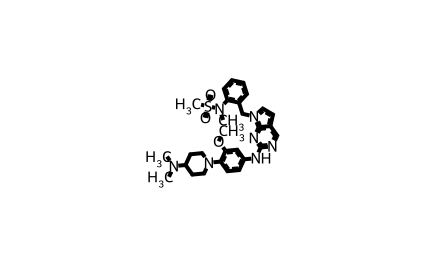 COc1cc(Nc2ncc3ccn(Cc4ccccc4N(C)S(C)(=O)=O)c3n2)ccc1N1CCC(N(C)C)CC1